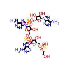 Nc1ncnc2c1ncn2[C@@H]1O[C@H](COP(O)(=S)OC2C(O)[C@@H](COP(O)(=S)OC3C(O)[C@@H](COP(O)(=S)OCCO)O[C@H]3n3cnc4c(N)ncnc43)O[C@H]2n2cnc3c(N)ncnc32)C(O)C1O